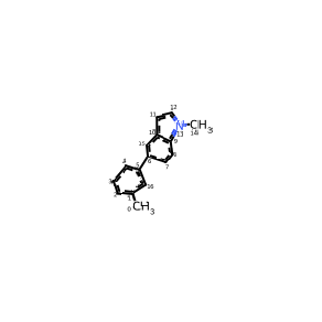 Cc1cccc(-c2ccc3c(ccn3C)c2)c1